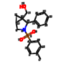 Cc1ccc(S(=O)(=O)N2CC3CC3(CO)C2c2ccccc2)cc1